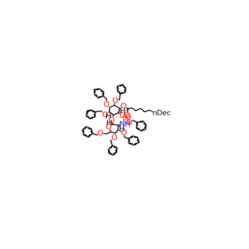 CCCCCCCCCCCCCCCC(=O)O[C@@H]1C(OCc2ccccc2)C(OCc2ccccc2)[C@H](OCc2ccccc2)[C@@H]2O[C@H]3OC(COCc4ccccc4)[C@@H](OCc4ccccc4)[C@H](OCc4ccccc4)[C@H]3NP(=O)(OCc3ccccc3)O[C@@H]21